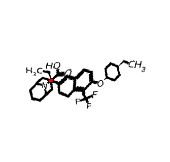 CC[C@@H](c1ccc2c(C(F)(F)F)c(O[C@H]3CC[C@H](CC)CC3)ccc2c1)N1C2CCCC1CC(C(=O)O)C2